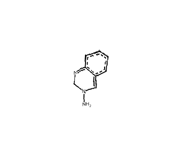 NN1C=c2cc[c]cc2=NC1